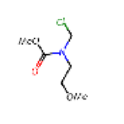 COCCN(CCl)C(=O)OC